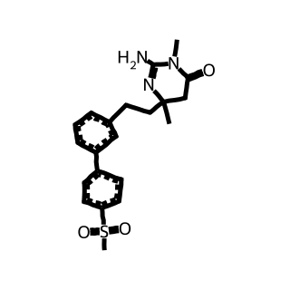 CN1C(=O)CC(C)(CCc2cccc(-c3ccc(S(C)(=O)=O)cc3)c2)N=C1N